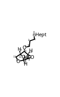 CCCCCCCCCCO[C@H]1[C@@H]2O[C@@H]2[C@@H]2OC[C@H]1O2